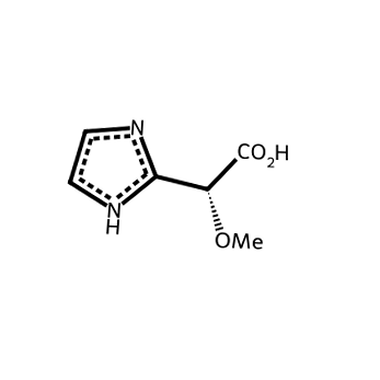 CO[C@@H](C(=O)O)c1ncc[nH]1